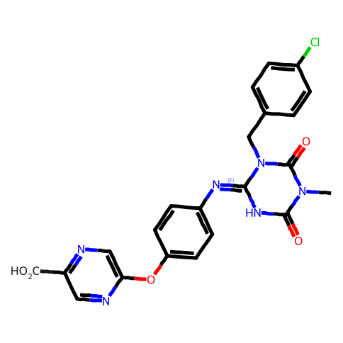 Cn1c(=O)[nH]/c(=N\c2ccc(Oc3cnc(C(=O)O)cn3)cc2)n(Cc2ccc(Cl)cc2)c1=O